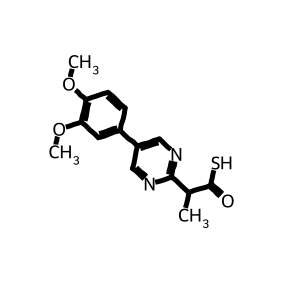 COc1ccc(-c2cnc(C(C)C(=O)S)nc2)cc1OC